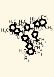 Cc1cc(N(c2ccc(C(C)(C)C)cc2)c2cc3c(cc2C)C(C)(C)CCC3(C)C)cc(N(c2ccc3c(c2)oc2cc4c(cc23)C(C)(C)CCC4(C)C)c2cc3c(cc2C)C(C)(C)CCC3(C)C)c1